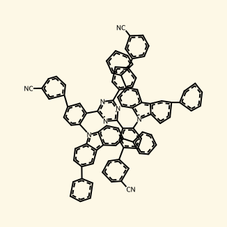 N#Cc1cccc(-c2ccc(-c3nc(-c4cc(-c5cccc(C#N)c5)ccc4-n4c5ccc(-c6ccccc6)cc5c5cc(-c6ccccc6)ccc54)nc(-c4cc(-c5cccc(C#N)c5)ccc4-n4c5ccc(-c6ccccc6)cc5c5cc(-c6ccccc6)ccc54)n3)cc2)c1